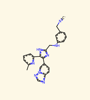 [C-]#[N+]Cc1cccc(NCc2nc(-c3ccc4ncnn4c3)c(-c3cccc(C)n3)[nH]2)c1